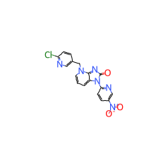 O=c1nc2n(Cc3ccc(Cl)nc3)cccc-2n1-c1ccc([N+](=O)[O-])cn1